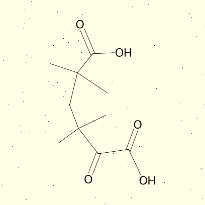 CC(C)(CC(C)(C)C(=O)C(=O)O)C(=O)O